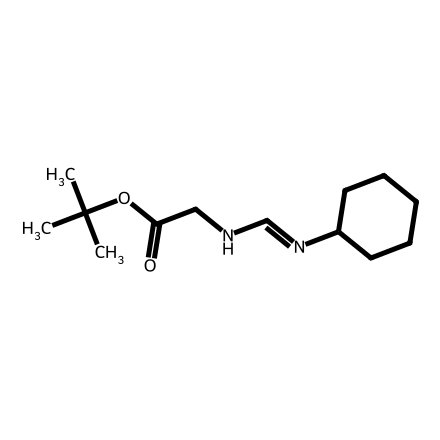 CC(C)(C)OC(=O)CNC=NC1CCCCC1